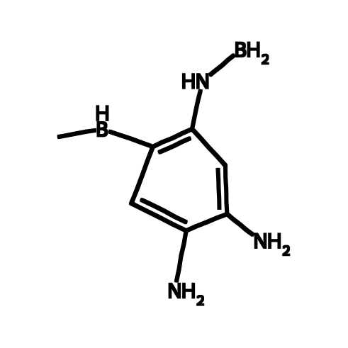 BNc1cc(N)c(N)cc1BC